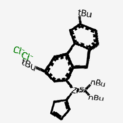 CCCC[Si](CCCC)=[Zr+2]([C]1=CC=CC1)[c]1cc(C(C)(C)C)cc2c1Cc1ccc(C(C)(C)C)cc1-2.[Cl-].[Cl-]